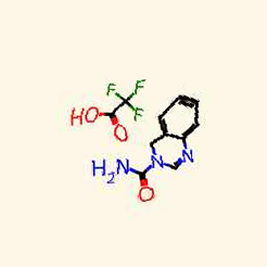 NC(=O)N1C=Nc2ccccc2C1.O=C(O)C(F)(F)F